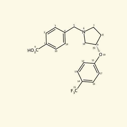 O=C(O)c1ccc(CN2CC[C@H](Oc3ccc(C(F)(F)F)cc3)C2)cc1